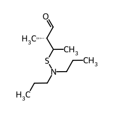 CCCN(CCC)SC(C)[C@H](C)C=O